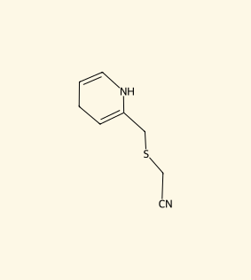 N#CCSCC1=CCC=CN1